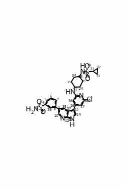 NS(=O)(=O)c1cccc(-c2cnc3[nH]cc(-c4cc(Cl)nc(NC5CCC(NS(=O)(=O)C6CC6)CC5)c4)c3c2)c1